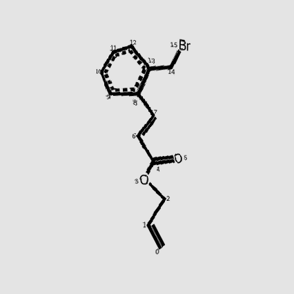 C=CCOC(=O)C=Cc1ccccc1CBr